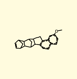 COc1ccc2ccc3c(c2c1)CC1C2CC(C31)C1C3C=CC(C3)C21